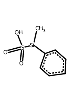 C[Si](c1ccccc1)S(=O)(=O)O